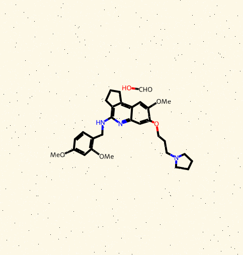 COc1ccc(CNc2nc3cc(OCCCN4CCCC4)c(OC)cc3c3c2CCC3)c(OC)c1.O=CO